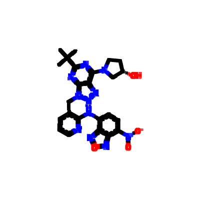 CC(C)(C)c1nc(N2CC[C@H](O)C2)c2nnn(Cc3cccnc3Nc3ccc([N+](=O)[O-])c4nonc34)c2n1